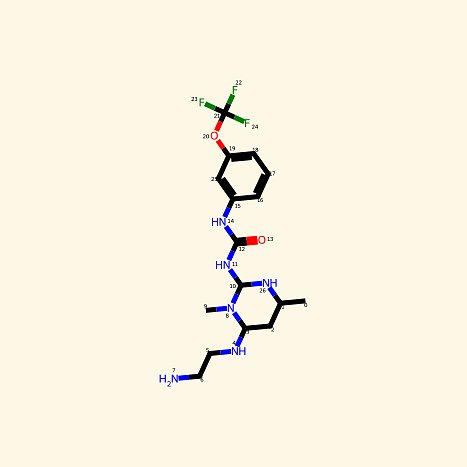 CC1CC(NCCN)N(C)C(NC(=O)Nc2cccc(OC(F)(F)F)c2)N1